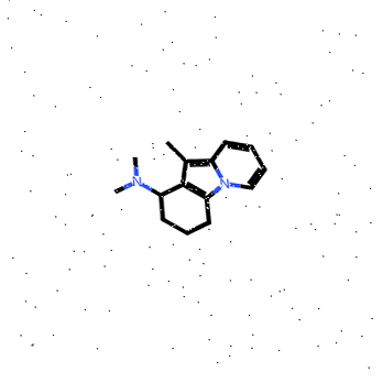 Cc1c2c(n3ccccc13)CCCC2N(C)C